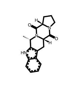 C[C@H]1c2[nH]c3ccccc3c2C[C@H]2C(=O)N3CCC[C@H]3C(=O)N21